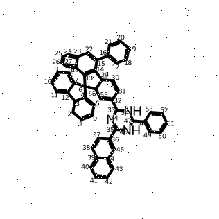 C1=CCC2C(=C1)C1(c3ccccc32)c2c(c(-c3ccccc3)cc3ccccc23)C2C=CC(C3N=C(c4ccc5ccccc5c4)NC(c4ccccc4)N3)=CC21